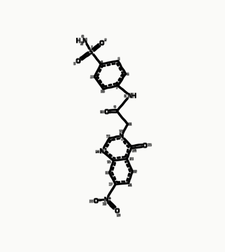 NS(=O)(=O)c1ccc(NC(=O)Cn2cnc3cc([N+](=O)[O-])ccc3c2=O)cc1